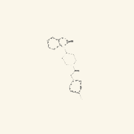 O=C(Cc1ccc([N+](=O)[O-])cc1)N1CCC(n2c(=O)[nH]c3ccccc32)CC1